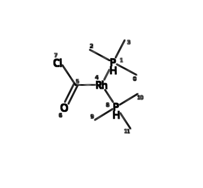 C[PH](C)(C)[Rh]([C](=O)Cl)[PH](C)(C)C